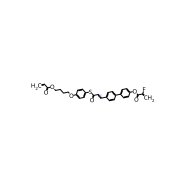 C=CC(=O)OCCCCOc1ccc(SC(=O)/C=C/c2ccc(-c3ccc(OC(=O)C(=C)F)cc3)cc2)cc1